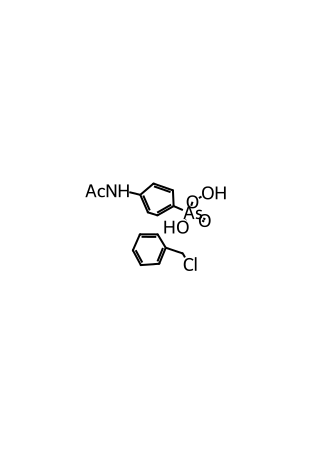 CC(=O)Nc1ccc([As](=O)(O)OO)cc1.ClCc1ccccc1